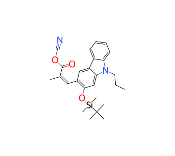 CCCn1c2ccccc2c2cc(C=C(C)C(=O)OC#N)c(O[Si](C)(C)C(C)(C)C)cc21